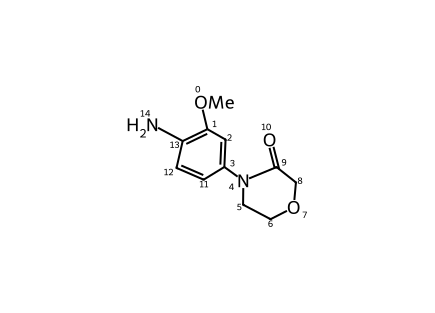 COc1cc(N2CCOCC2=O)ccc1N